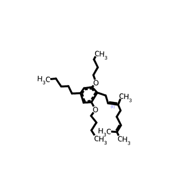 CCCCCc1cc(OCCCC)c(C/C=C(\C)CCC=C(C)C)c(OCCCC)c1